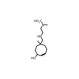 CN(CCNCC1(C)CC/C=C\C(O)CC1)C(=O)O